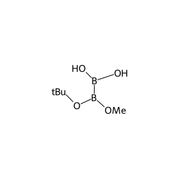 COB(OC(C)(C)C)B(O)O